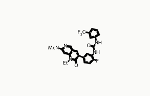 CCn1c(=O)c(-c2ccc(F)c(NC(=O)Nc3cccc(C(F)(F)F)c3)c2)cc2cnc(NC)cc21